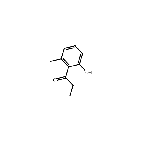 CCC(=O)c1c(C)cccc1O